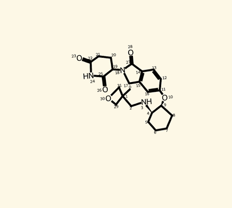 CC1(CN[C@@H]2CCCC[C@@H]2Oc2ccc3c(c2)CN(C2CCC(=O)NC2=O)C3=O)COC1